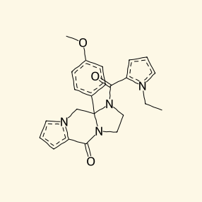 CCn1cccc1C(=O)N1CCN2C(=O)c3cccn3CC12c1ccc(OC)cc1